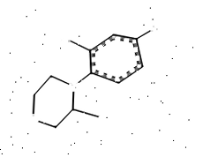 CC1COCCN1c1ccc(N)cc1Cl